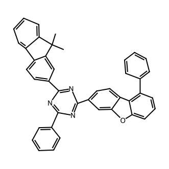 CC1(C)c2ccccc2-c2ccc(-c3nc(-c4ccccc4)nc(-c4ccc5c(c4)oc4cccc(-c6ccccc6)c45)n3)cc21